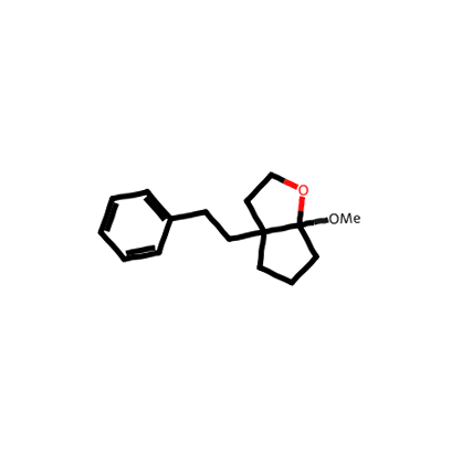 COC12CCCC1(CCc1ccccc1)CCO2